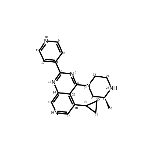 C[C@H]1CN(c2nc(-c3ccncc3)nc3cncc(C4CC4)c23)CCN1